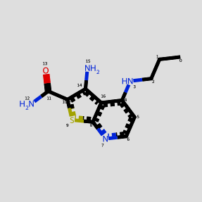 CCCNc1ccnc2sc(C(N)=O)c(N)c12